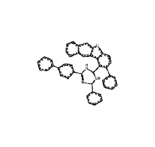 c1ccc(-c2ccc(C3=NC(c4ccccc4)NC(c4c(-c5ccccc5)ccc5oc6cc7ccccc7cc6c45)N3)cc2)cc1